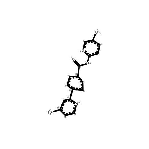 O=C(Nc1ccc(C(F)(F)F)cn1)c1ccc(-c2cc(C(F)(F)F)ccn2)cc1